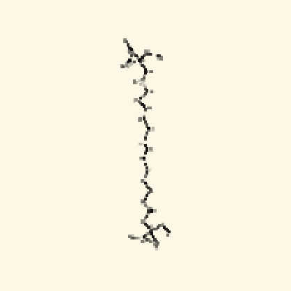 CCC1(COCCCCCCCCCCCCOCC2(CC)OC2C)OC1C